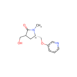 CN1C(=O)C(CO)C[C@H]1COc1cccnc1